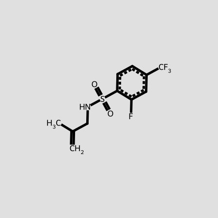 C=C(C)CNS(=O)(=O)c1ccc(C(F)(F)F)cc1F